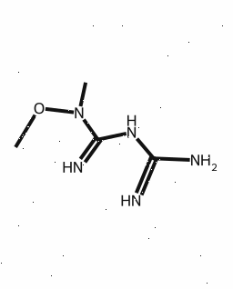 CON(C)C(=N)NC(=N)N